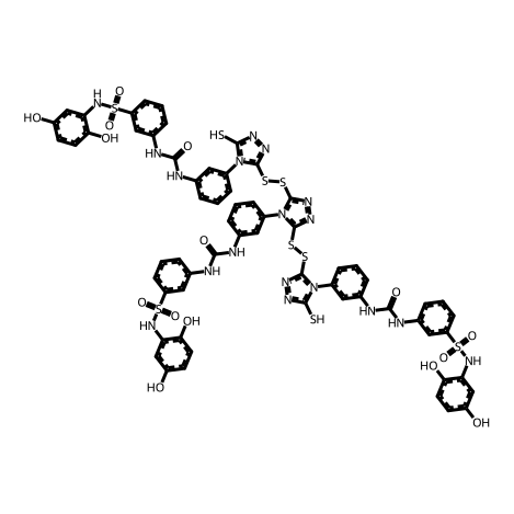 O=C(Nc1cccc(-n2c(S)nnc2SSc2nnc(SSc3nnc(S)n3-c3cccc(NC(=O)Nc4cccc(S(=O)(=O)Nc5cc(O)ccc5O)c4)c3)n2-c2cccc(NC(=O)Nc3cccc(S(=O)(=O)Nc4cc(O)ccc4O)c3)c2)c1)Nc1cccc(S(=O)(=O)Nc2cc(O)ccc2O)c1